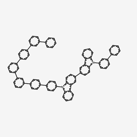 c1ccc(-c2cccc(-c3ccc(-c4cccc(-c5cccc(-c6ccc(-c7ccc(-n8c9ccccc9c9cc(-c%10ccc%11c(c%10)c%10ccccc%10n%11-c%10cccc(-c%11ccccc%11)c%10)ccc98)cc7)cc6)c5)c4)cc3)c2)cc1